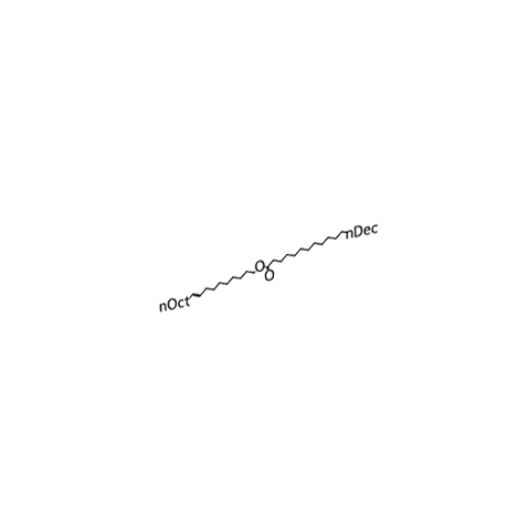 CCCCCCCCC=CCCCCCCCCOC(=O)CCCCCCCCCCCCCCCCCCCCC